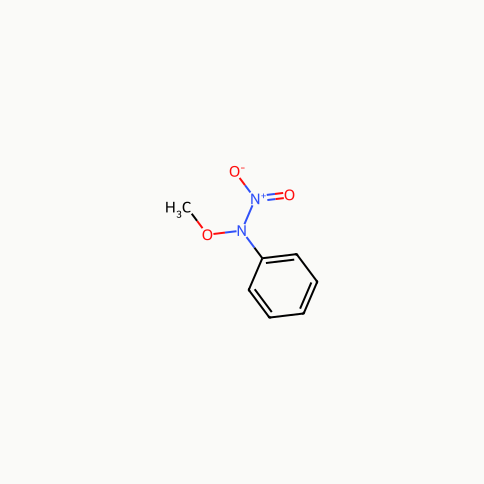 CON(c1ccccc1)[N+](=O)[O-]